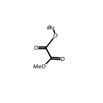 CCC(C)OC(=O)C(=O)OC